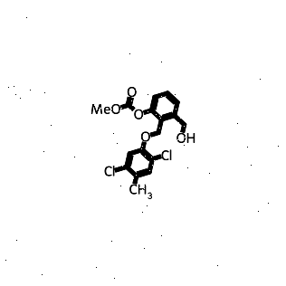 COC(=O)Oc1cccc(CO)c1COc1cc(Cl)c(C)cc1Cl